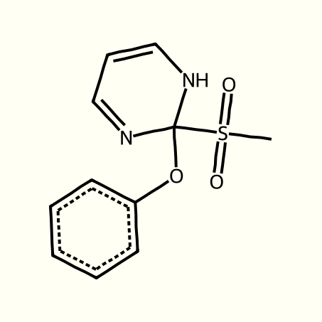 CS(=O)(=O)C1(Oc2ccccc2)N=CC=CN1